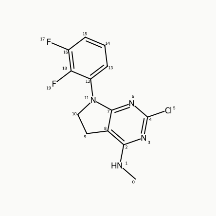 CNc1nc(Cl)nc2c1CCN2c1cccc(F)c1F